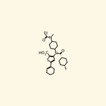 CCC(=O)N(C)C1CCC(N(c2cc(C3=CCCCC3)sc2C(=O)O)C(=O)[C@H]2CC[C@H](C)CC2)CC1